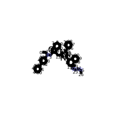 C=C/C(=C\c1oc2ccccc2c1Cc1nc(C2=CCC(C)(/C=C\C=C/C)c3ccccc32)nc(-c2ccccc2)n1)c1ccc(-c2ccccc2)cc1